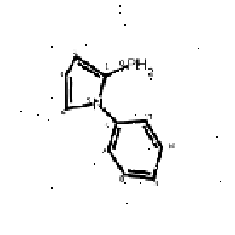 Pc1cccn1-c1ccccc1